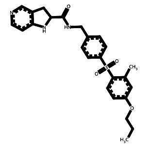 CCCOc1ccc(S(=O)(=O)c2ccc(CNC(=O)C3Cc4cnccc4N3)cc2)c(C)c1